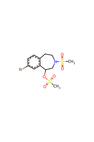 CS(=O)(=O)OC1CN(S(C)(=O)=O)CCc2ccc(Br)cc21